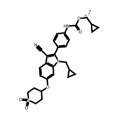 C[C@@H](OC(=O)Nc1ccc(-c2c(C#N)c3ccc(OC4CCS(=O)(=O)CC4)cc3n2CC2CC2)cc1)C1CC1